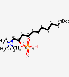 CCCCCCCCCCCCCCCCCCC(C[N+](C)(C)C)OP(=O)([O-])O